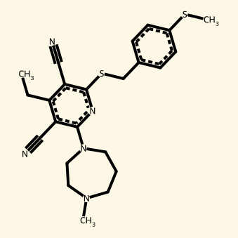 CCc1c(C#N)c(SCc2ccc(SC)cc2)nc(N2CCCN(C)CC2)c1C#N